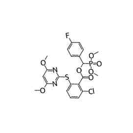 COc1cc(OC)nc(Sc2cccc(Cl)c2C(=O)OC(c2ccc(F)cc2)P(=O)(OC)OC)n1